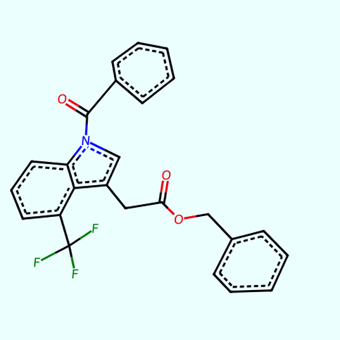 O=C(Cc1cn(C(=O)c2ccccc2)c2cccc(C(F)(F)F)c12)OCc1ccccc1